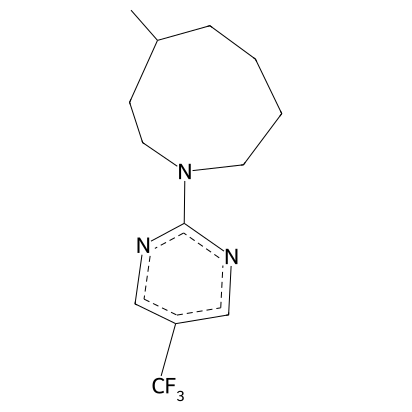 CC1CCCCN(c2ncc(C(F)(F)F)cn2)CC1